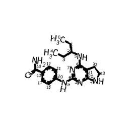 CCC(CC)Nc1nc(Nc2ccc(C(N)=O)cc2)nc2c1CCN2